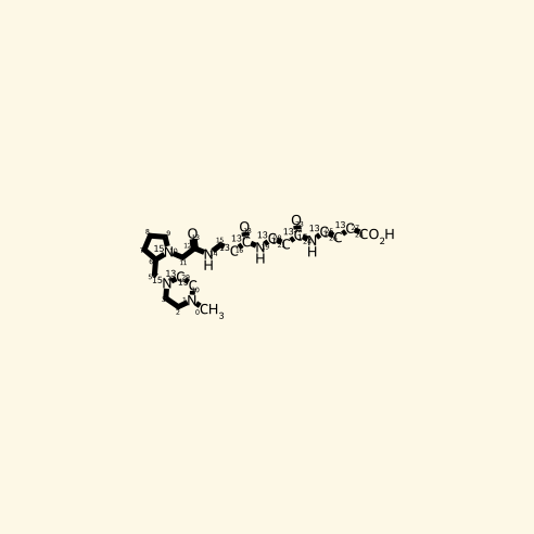 CN1CC[15N](CC2CCC[15N]2CC(=O)NC[13CH2][13C](=O)N[13CH2][13CH2][13C](=O)[15NH][13CH2][13CH2][13CH2][13C](=O)O)[13CH2][13CH2]1